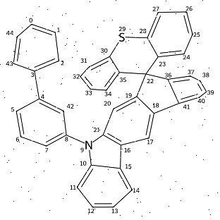 c1ccc(-c2cccc(-n3c4ccccc4c4cc5c(cc43)C3(c4ccccc4Sc4ccccc43)c3ccccc3-5)c2)cc1